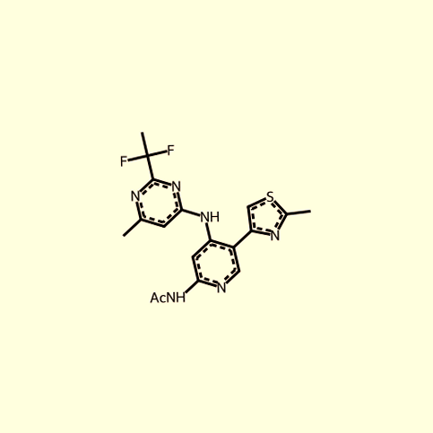 CC(=O)Nc1cc(Nc2cc(C)nc(C(C)(F)F)n2)c(-c2csc(C)n2)cn1